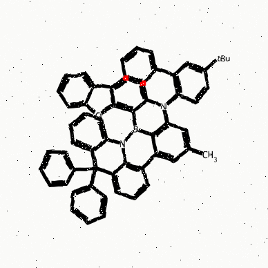 Cc1cc2c3c(c1)N(c1ccc(C(C)(C)C)cc1-c1ccccc1)c1ccc4c(oc5ccccc54)c1B3N1c3ccccc3C(c3ccccc3)(c3ccccc3)c3cccc-2c31